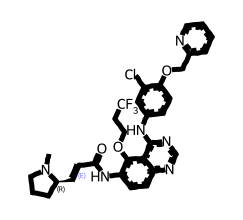 CN1CCC[C@@H]1/C=C/C(=O)Nc1ccc2ncnc(Nc3ccc(OCc4ccccn4)c(Cl)c3)c2c1OCCC(F)(F)F